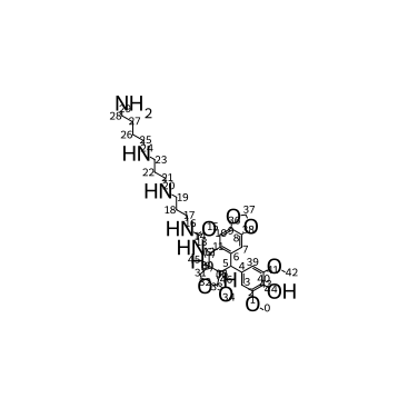 COc1cc(C2c3cc4c(cc3[C@@H](NC(=O)NCCCNCCCNCCCCN)[C@H]3COC(=O)[C@H]23)OCO4)cc(OC)c1O